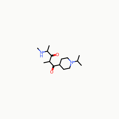 CNC(C)C(=O)C(C)C(=O)C1CCN(C(C)C)CC1